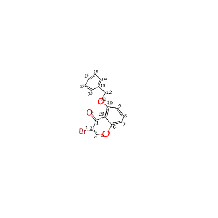 O=c1c(Br)coc2cccc(OCc3ccccc3)c12